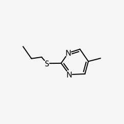 CCCSc1ncc(C)cn1